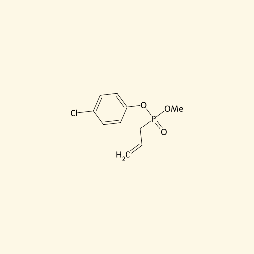 C=CCP(=O)(OC)Oc1ccc(Cl)cc1